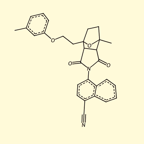 Cc1cccc(OCCC23CCC(C)(O2)C2C(=O)N(c4ccc(C#N)c5ccccc45)C(=O)C23)c1